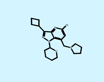 Clc1cc(CN2CCCC2)c2c(n1)c(C1CCC1)nn2C1CCCCO1